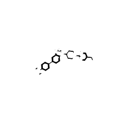 CC(C)Cc1cnc(N2CCC(n3nnc4cc(-c5ccc(S(C)(=O)=O)cc5)ccc43)CC2)nc1